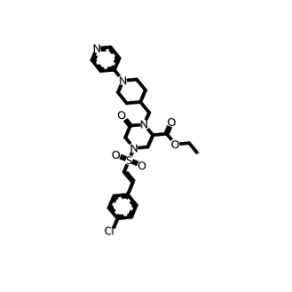 CCOC(=O)C1CN(S(=O)(=O)C=Cc2ccc(Cl)cc2)CC(=O)N1CC1CCN(c2ccncc2)CC1